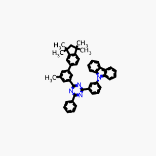 Cc1cc(-c2ccc3c(c2)C(C)(C)CC3(C)C)cc(-c2nc(-c3ccccc3)nc(-c3cccc(-n4c5ccccc5c5ccccc54)c3)n2)c1